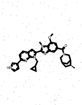 COc1cc(C(=O)N2CC3CC(C2)[C@@H](C)C3)cc2nc(-c3cc4ccc(-c5cc[nH]c5)nc4n3CC3CC3)n(C)c12